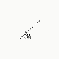 CCCCCCCCCCCCSC(CCCCC)C(=O)O